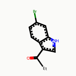 CCC(=O)c1c[nH]c2cc(Br)ccc12